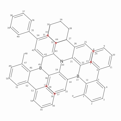 Cc1cccc(-c2ccccc2)c1B1c2cccc3c2N2c4c1cccc4C14CCC(CC1)c1c(-c5ccccc5)cc(c2c14)B3c1c(C)cccc1-c1ccccc1